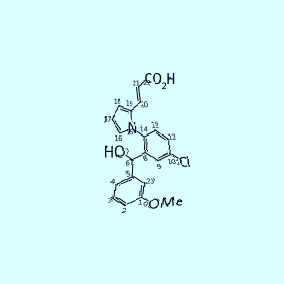 COc1cccc(C(O)c2cc(Cl)ccc2-n2cccc2C=CC(=O)O)c1